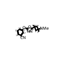 CNC1(C)CC(C)(c2nnc(Oc3cccc(C#N)c3)o2)C1